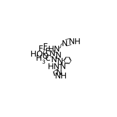 Cc1nc(NCCN2CCNCC2)nc(-n2c(Nc3cc[nH]n3)nc3ccccc32)n1.O=C(O)C(F)(F)F